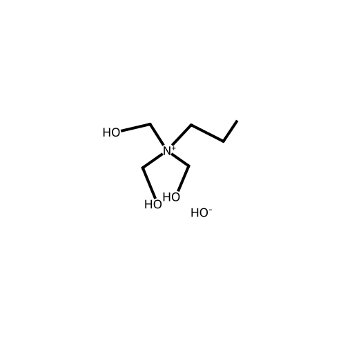 CCC[N+](CO)(CO)CO.[OH-]